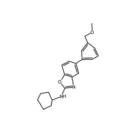 COCc1cccc(-c2ccc3oc(NC4CCCCC4)nc3c2)c1